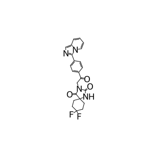 O=C(CN1C(=O)NC2(CCC(F)(F)CC2)C1=O)c1ccc(-c2ncc3ccccn23)cc1